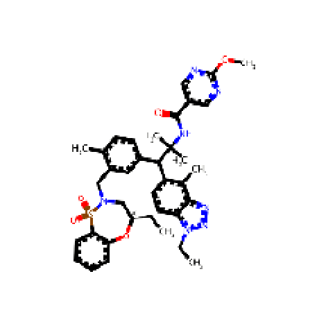 CC[C@@H]1CN(Cc2cc(C(c3ccc4c(nnn4CC)c3C)C(C)(C)NC(=O)c3cnc(OC)nc3)ccc2C)S(=O)(=O)c2ccccc2O1